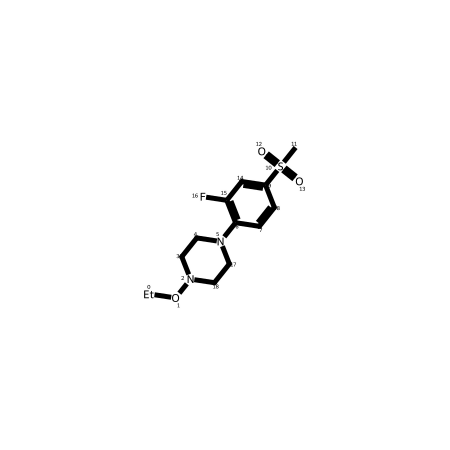 CCON1CCN(c2ccc(S(C)(=O)=O)cc2F)CC1